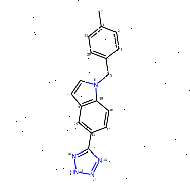 Cc1ccc(Cn2ccc3cc(-c4nn[nH]n4)ccc32)cc1